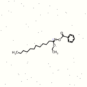 CCCCCCCCCCC/C(=N/OC(=O)c1ccccc1)OCC